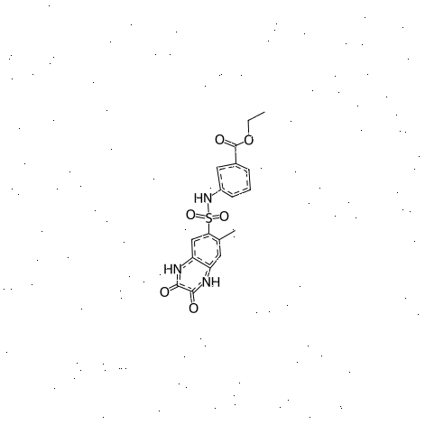 CCOC(=O)c1cccc(NS(=O)(=O)c2cc3[nH]c(=O)c(=O)[nH]c3cc2C)c1